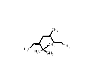 CC=C(CN(C)CCC)C(C)(C)[SiH3]